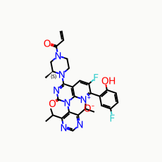 C=CC(=O)N1CCN(c2nc(=O)n(-c3c(C(C)C)ncnc3C(C)C)c3c2cc(F)c(-c2cc(F)ccc2O)[n+]3[O-])[C@@H](C)C1